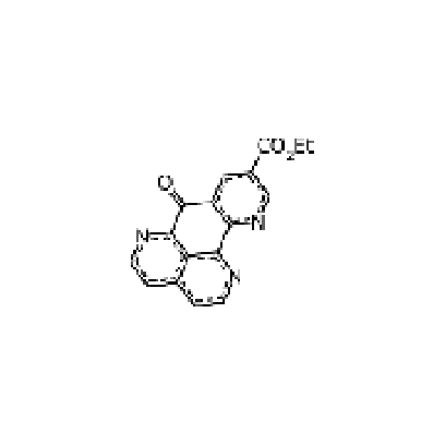 CCOC(=O)c1cnc2c(c1)C(=O)c1nccc3ccnc-2c13